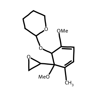 COC1=CC=C(C)C(OC)(C2CO2)C1OC1CCCCO1